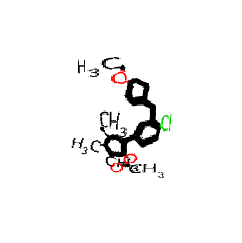 CCOc1ccc(Cc2cc(C3C[C@H](CC)[C@@H](C)[C@H](C)[C@H]3OC(C)=O)ccc2Cl)cc1